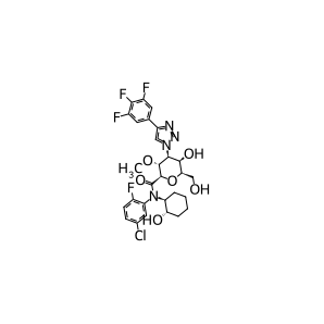 CO[C@@H]1[C@@H](n2cc(-c3cc(F)c(F)c(F)c3)nn2)[C@@H](O)[C@@H](CO)O[C@H]1C(=O)N(c1cc(Cl)ccc1F)[C@H]1CCCC[C@@H]1O